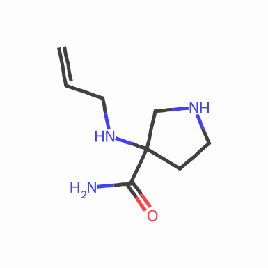 C=CCNC1(C(N)=O)CCNC1